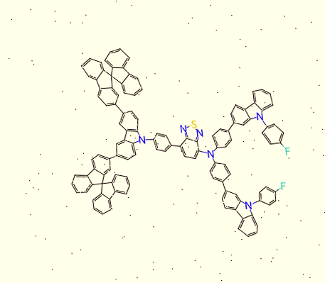 Fc1ccc(-n2c3ccccc3c3ccc(-c4ccc(N(c5ccc(-c6ccc7c8ccccc8n(-c8ccc(F)cc8)c7c6)cc5)c5ccc(-c6ccc(-n7c8ccc(-c9ccc%10c(c9)C9(c%11ccccc%11-c%11ccccc%119)c9ccccc9-%10)cc8c8cc(-c9ccc%10c(c9)C9(c%11ccccc%11-c%11ccccc%119)c9ccccc9-%10)ccc87)cc6)c6nsnc56)cc4)cc32)cc1